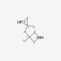 CC1(CC2(C)CP2)CNC1